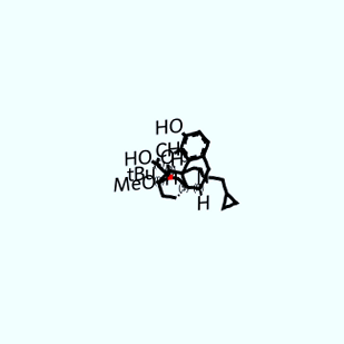 CO[C@]12CC[C@@]3(C[C@@H]1[C@](C)(O)C(C)(C)C)[C@H]1Cc4ccc(O)c5c4C3(CCN1CC1CC1)[C@H]2O5